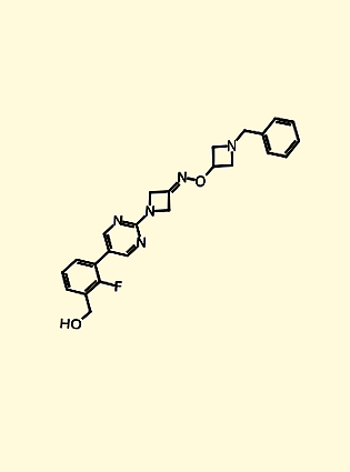 OCc1cccc(-c2cnc(N3CC(=NOC4CN(Cc5ccccc5)C4)C3)nc2)c1F